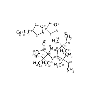 C1CCOC1.C1CCOC1.CCC(C)(C)C1=NC(C(=O)[O-])(C(C)(C)C)N=C1C(C)(C)CC.[Ce+3].[I-].[I-]